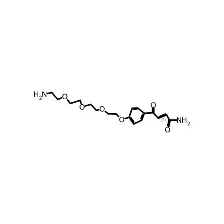 NCCOCCOCCOCCOc1ccc(C(=O)/C=C/C(N)=O)cc1